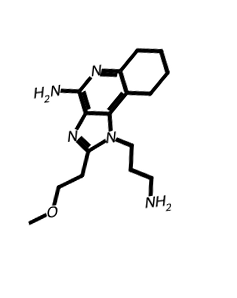 COCCc1nc2c(N)nc3c(c2n1CCCN)CCCC3